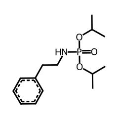 CC(C)OP(=O)(NCCc1ccccc1)OC(C)C